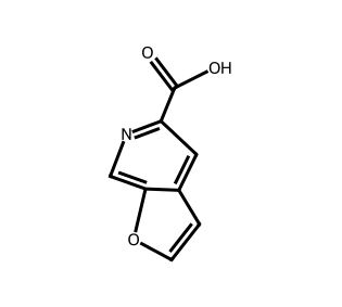 O=C(O)c1cc2ccoc2cn1